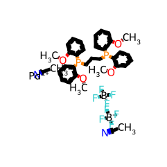 CC#N.CC#N.COc1ccccc1P(CCCP(c1ccccc1OC)c1ccccc1OC)c1ccccc1OC.F[B-](F)(F)F.F[B-](F)(F)F.[Pd+2]